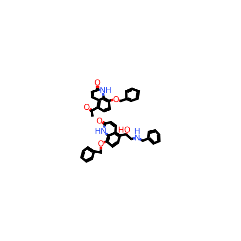 CC(=O)c1ccc(OCc2ccccc2)c2[nH]c(=O)ccc12.O=c1ccc2c(C(O)CNCc3ccccc3)ccc(OCc3ccccc3)c2[nH]1